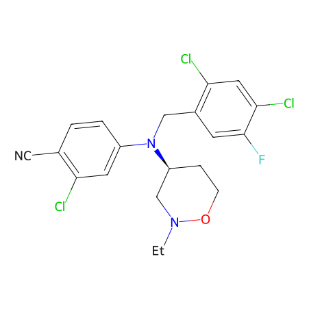 CCN1C[C@@H](N(Cc2cc(F)c(Cl)cc2Cl)c2ccc(C#N)c(Cl)c2)CCO1